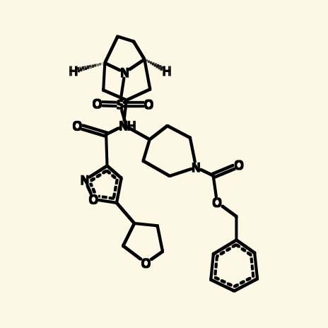 O=C(NC1C[C@H]2CC[C@@H](C1)N2S(=O)(=O)CC1CCN(C(=O)OCc2ccccc2)CC1)c1cc(C2CCOC2)on1